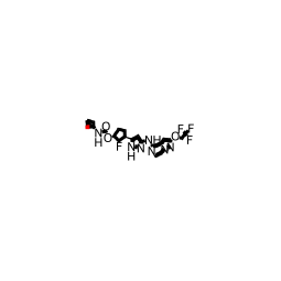 O=C(NC12CC(C1)C2)O[C@H]1CC[C@@H](c2cc(Nc3nccn4nc(OCC(F)(F)F)cc34)n[nH]2)[C@H]1F